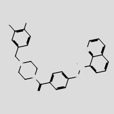 O=C(c1ccc(N[S@@+]([O-])c2cccc3cccnc23)cc1)N1CCN(Cc2ccc(Cl)c(Cl)c2)CC1